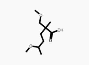 COCC(C)(CCC(C)OC)C(=O)O